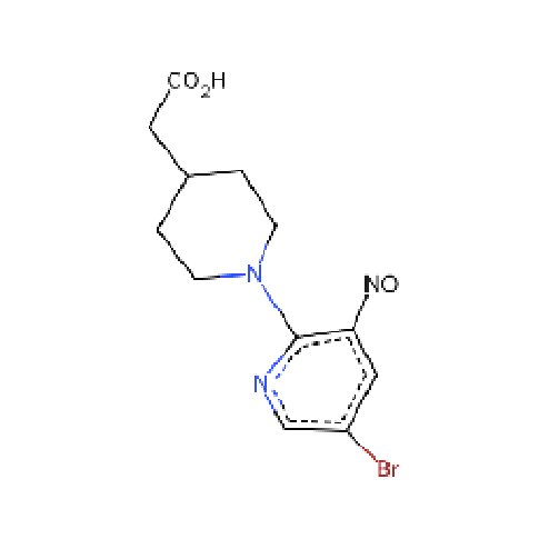 O=Nc1cc(Br)cnc1N1CCC(CC(=O)O)CC1